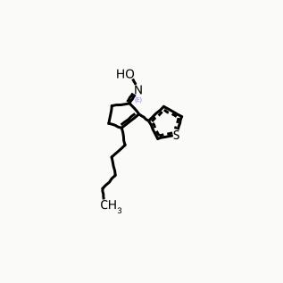 CCCCCC1=C(c2ccsc2)/C(=N/O)CC1